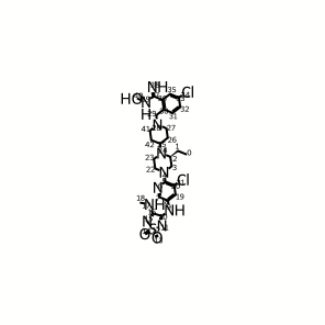 CC[C@H]1CN(c2ncc(NC3=NS(=O)(=O)N=C3NC)cc2Cl)CCN1C1CCN(Cc2ccc(Cl)cc2C(=N)NO)CC1